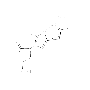 O=C(O)C1CC(n2cc3cc(O)c(O)cn3c2=O)C(=O)O1